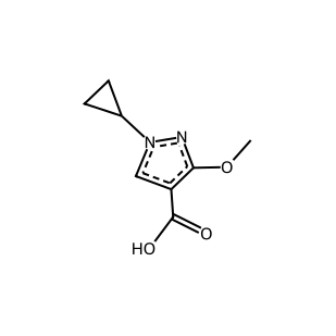 COc1nn(C2CC2)cc1C(=O)O